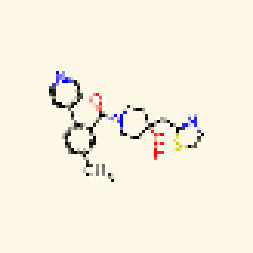 Cc1ccc(-c2ccncc2)c(C(=O)N2CCC(O)(CC3=NCCS3)CC2)c1